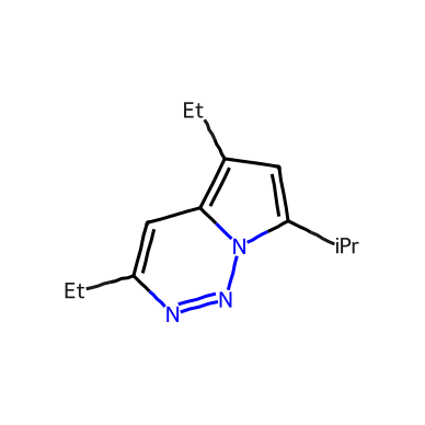 CCc1cc2c(CC)cc(C(C)C)n2nn1